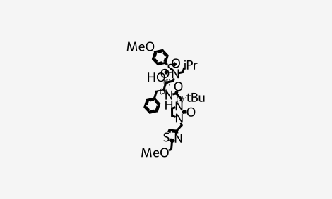 COCc1nc(CN2CCN([C@H](C(=O)N[C@@H](Cc3ccccc3)[C@@H](O)CN(CC(C)C)S(=O)(=O)c3ccc(OC)cc3)C(C)(C)C)C2=O)cs1